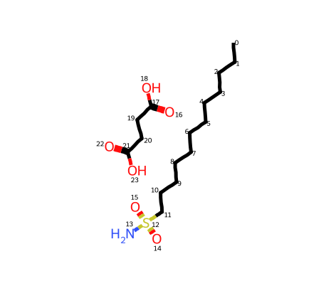 CCCCCCCCCCCCS(N)(=O)=O.O=C(O)CCC(=O)O